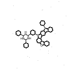 c1ccc(C2NC(c3ccccc3)NC(c3cccc(-n4c5cc6c(cc5c5c7c(ccc54)oc4ccccc47)c4ccccc4n6-c4ccccc4)c3)N2)cc1